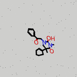 CN1C(=O)C(C)(C2=CCCCC2)CN(CC(=O)c2ccccc2)C1O